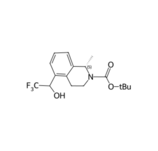 C[C@H]1c2cccc(C(O)C(F)(F)F)c2CCN1C(=O)OC(C)(C)C